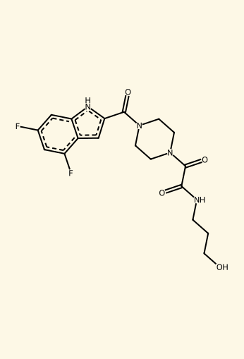 O=C(NCCCO)C(=O)N1CCN(C(=O)c2cc3c(F)cc(F)cc3[nH]2)CC1